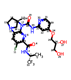 C[C@@H](NC(=O)c1nc2c(cc1F)N1CC[C@@H](C1)N2C(=O)Nc1cc(OC[C@H](O)CO)ccn1)C(F)(F)F